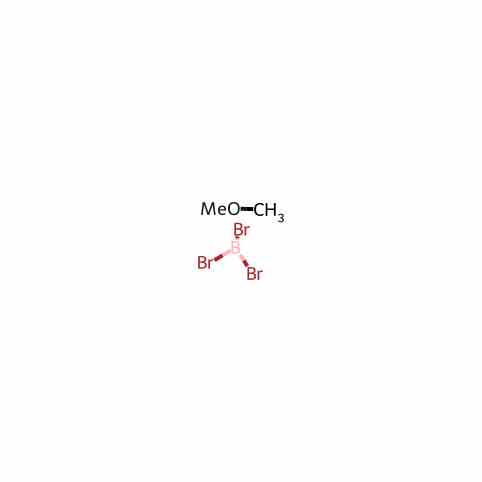 BrB(Br)Br.COC